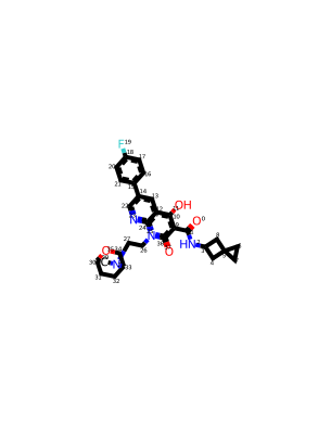 O=C(NC1CC2(CC2)C1)c1c(O)c2cc(-c3ccc(F)cc3)cnc2n(CCN2CC3CCC2CO3)c1=O